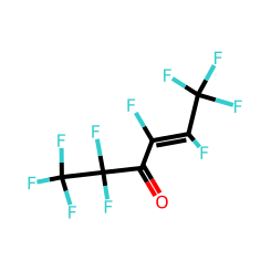 O=C(C(F)=C(F)C(F)(F)F)C(F)(F)C(F)(F)F